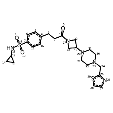 O=C(CCc1ccc(S(=O)(=O)NC2CC2)cc1)N1CC(N2CCN(Cc3nccs3)CC2)C1